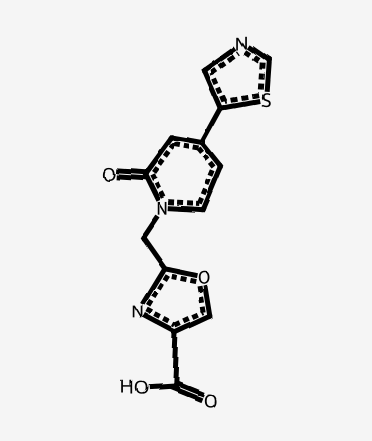 O=C(O)c1coc(Cn2ccc(-c3cncs3)cc2=O)n1